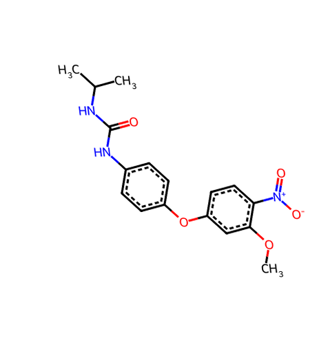 COc1cc(Oc2ccc(NC(=O)NC(C)C)cc2)ccc1[N+](=O)[O-]